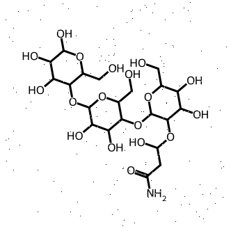 NC(=O)CC(O)OC1C(OC2C(CO)OC(OC3C(CO)OC(O)C(O)C3O)C(O)C2O)OC(CO)C(O)C1O